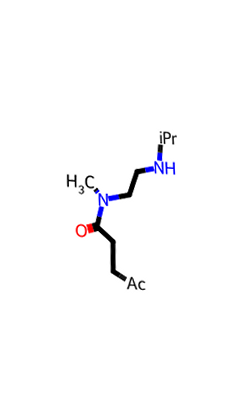 CC(=O)CCC(=O)N(C)CCNC(C)C